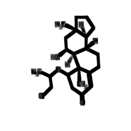 CC(CCl)OC1CC(=O)C=C2CC[C@@H]3[C@H]([C@@H](O)C[C@]4(C)CCC[C@@H]34)[C@]21C